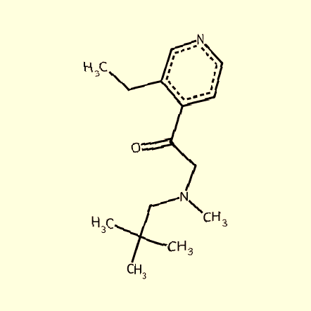 CCc1cnccc1C(=O)CN(C)CC(C)(C)C